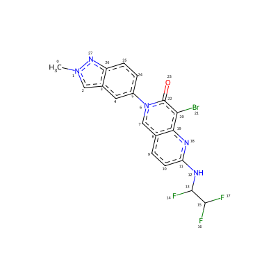 Cn1cc2cc(-n3cc4ccc(NC(F)C(F)F)nc4c(Br)c3=O)ccc2n1